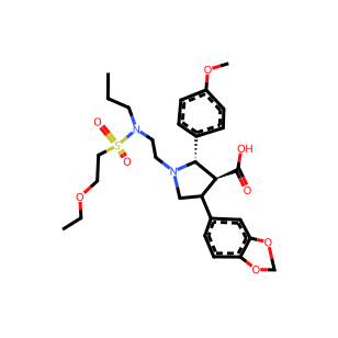 CCCN(CCN1CC(c2ccc3c(c2)OCO3)[C@H](C(=O)O)[C@H]1c1ccc(OC)cc1)S(=O)(=O)CCOCC